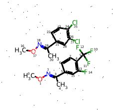 CO/N=C(\C)c1ccc(C(F)(F)F)c(F)c1.CO/N=C(\C)c1ccc(Cl)c(Cl)c1